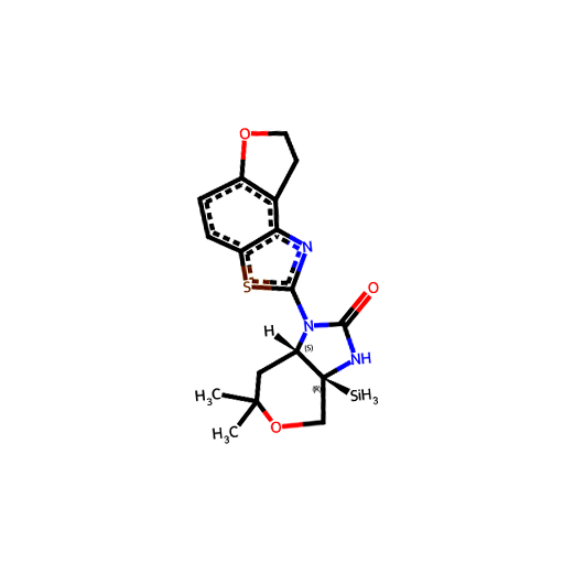 CC1(C)C[C@@H]2N(c3nc4c5c(ccc4s3)OCC5)C(=O)N[C@]2([SiH3])CO1